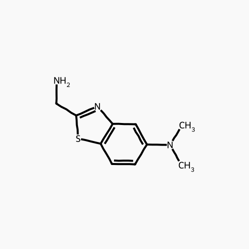 CN(C)c1ccc2sc(CN)nc2c1